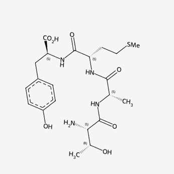 CSCC[C@H](NC(=O)[C@H](C)NC(=O)[C@@H](N)[C@@H](C)O)C(=O)N[C@@H](Cc1ccc(O)cc1)C(=O)O